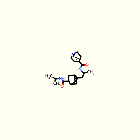 CC(C)NC(=O)C1CC2CCC1CC2CC(C)NC(=O)C12CCN(CC1)CC2